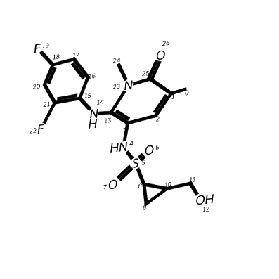 Cc1cc(NS(=O)(=O)C2CC2CO)c(Nc2ccc(F)cc2F)n(C)c1=O